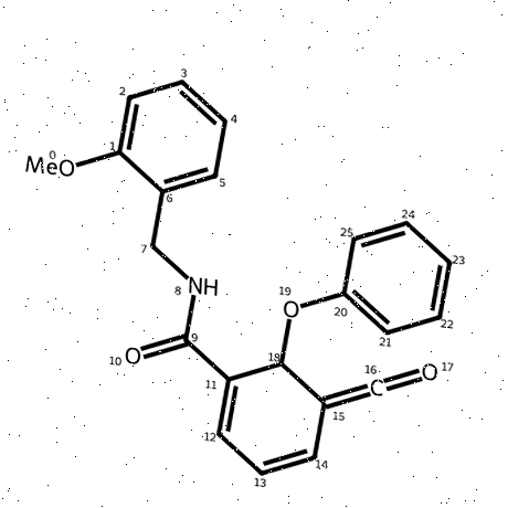 COc1ccccc1CNC(=O)C1=CC=CC(=C=O)C1Oc1ccccc1